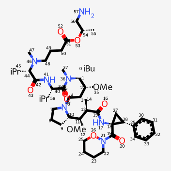 CC[C@H](C)[C@@H]([C@@H](CC(=O)N1CCC[C@H]1[C@H](OC)[C@@H](C)C(=O)N[C@@]1(C(=O)N2CCCCO2)C[C@@H]1c1ccccc1)OC)N(C)C(=O)[C@@H](NC(=O)[C@H](C(C)C)N(C)CCCC(=O)O[C@@H](C)CN)C(C)C